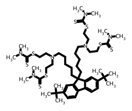 CN(C)C(=S)SCCN(CCCCCC1(CCCCCN(CCSC(=S)N(C)C)CCSC(=S)N(C)C)c2cc(C(C)(C)C)ccc2-c2ccc(C(C)(C)C)cc21)CCSC(=S)N(C)C